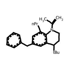 C=C(C)N1CCC(C(C)(C)C)c2cc(Cc3ccccc3)cc(CCC)c21